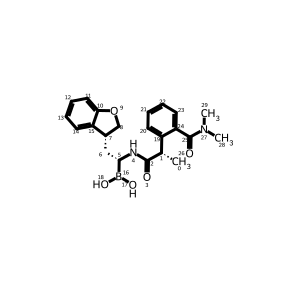 C[C@H](C(=O)N[C@@H](C[C@H]1COc2ccccc21)B(O)O)c1ccccc1C(=O)N(C)C